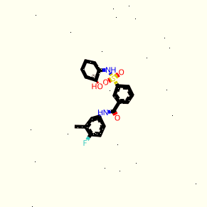 Cc1cc(NC(=O)c2cccc(S(=O)(=O)NC3CCCC[C@@H]3O)c2)ccc1F